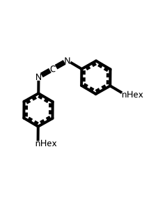 CCCCCCc1ccc(N=C=Nc2ccc(CCCCCC)cc2)cc1